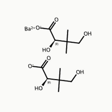 CC(C)(CO)[C@@H](O)C(=O)[O-].CC(C)(CO)[C@@H](O)C(=O)[O-].[Ba+2]